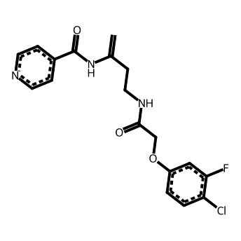 C=C(CCNC(=O)COc1ccc(Cl)c(F)c1)NC(=O)c1ccncc1